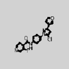 O=C(Nc1ccc(-n2nc(-c3ccoc3)cc2Cl)cc1)c1ccncc1F